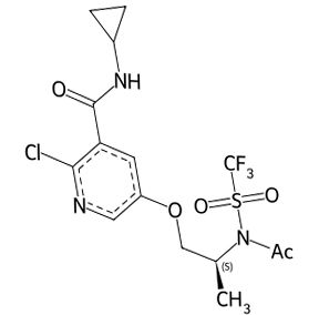 CC(=O)N([C@@H](C)COc1cnc(Cl)c(C(=O)NC2CC2)c1)S(=O)(=O)C(F)(F)F